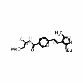 CCCCc1noc(C)c1/C=C/c1ccc(C(=O)N[C@H](C)COC)cn1